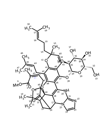 COC(=O)/C(C)=C\CC12OC(C)(C)C3CC(C1=O)C1C4=C(Nc5nccn51)c1c(O[C@H]5O[C@@H](CO)[C@H](O)[C@@H](O)[C@@H]5O)c5c(c(CC=C(C)C)c1OC432)OC(C)(CCC=C(C)C)C=C5